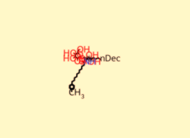 CCCCCCCCCCCCCC[C@@H](O)[C@@H](O)[C@H](COC1OC(CO)C(O)C(O)C1O)NC(=O)CCCCCCCCCCc1ccc(C)cc1